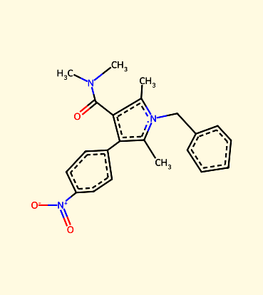 Cc1c(C(=O)N(C)C)c(-c2ccc([N+](=O)[O-])cc2)c(C)n1Cc1ccccc1